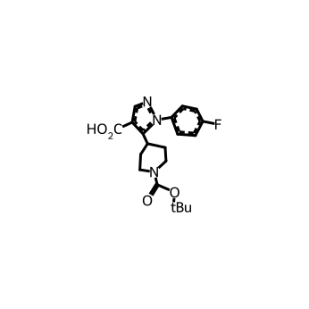 CC(C)(C)OC(=O)N1CCC(c2c(C(=O)O)cnn2-c2ccc(F)cc2)CC1